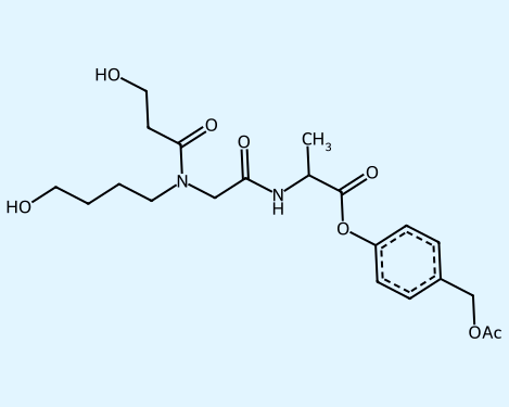 CC(=O)OCc1ccc(OC(=O)C(C)NC(=O)CN(CCCCO)C(=O)CCO)cc1